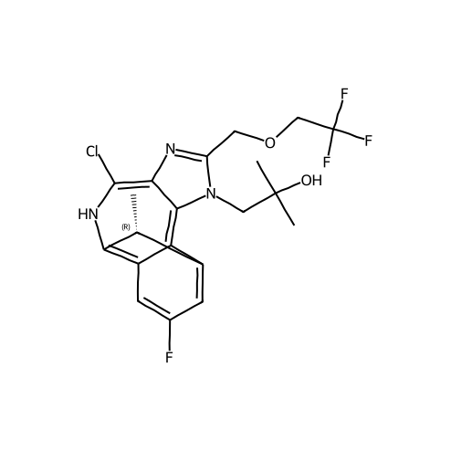 C[C@H]1C2=c3cc(F)cc1c3=c1c(nc(COCC(F)(F)F)n1CC(C)(C)O)=C(Cl)N2